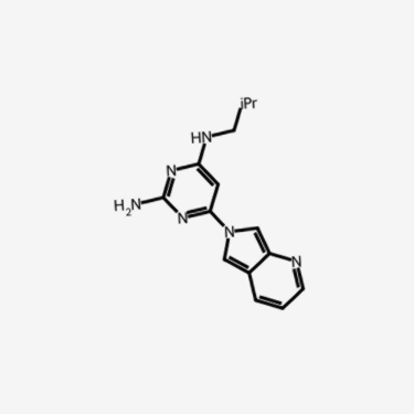 CC(C)CNc1cc(-n2cc3cccnc3c2)nc(N)n1